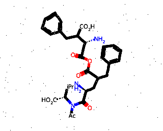 CC(=O)N(C(=O)[C@@H](N)CC(Cc1ccccc1)C(=O)OC(=O)[C@@H](N)C(Cc1ccccc1)C(=O)O)[C@H](C(=O)O)C(C)C